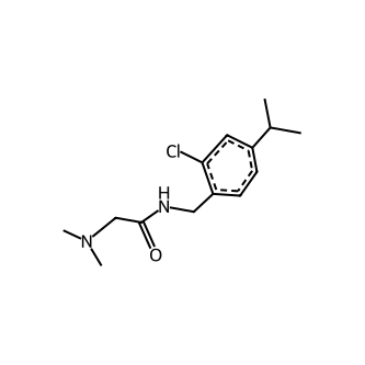 CC(C)c1ccc(CNC(=O)CN(C)C)c(Cl)c1